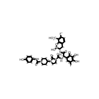 O=C(O)c1c(F)ccc2c1OB(O)[C@@H](NC(=O)[C@@H](NC(=O)N1CCN(C3CCN(C(=O)Nc4ccc(O)cc4)CC3)C1=O)c1cc(F)c(O)c(O)c1Cl)C2